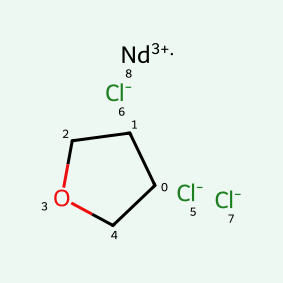 C1CCOC1.[Cl-].[Cl-].[Cl-].[Nd+3]